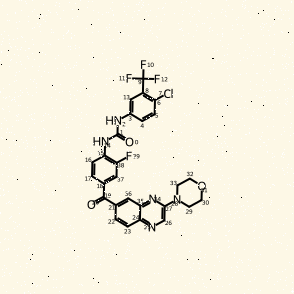 O=C(Nc1ccc(Cl)c(C(F)(F)F)c1)Nc1ccc(C(=O)c2ccc3ncc(N4CCOCC4)nc3c2)cc1F